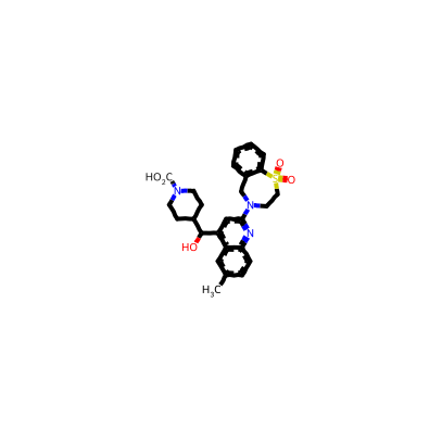 Cc1ccc2nc(N3CCS(=O)(=O)c4ccccc4C3)cc(C(O)C3CCN(C(=O)O)CC3)c2c1